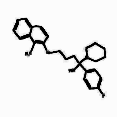 Cc1c(OCCCC(O)(c2ccc(F)cc2)N2CCCCC2)ccc2ccccc12